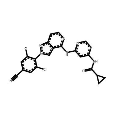 N#Cc1cc(Cl)c(-n2cc3c(Nc4cc(NC(=O)C5CC5)ncn4)nccc3n2)c(Cl)c1